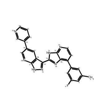 Cc1cc(F)cc(-c2ccnc3[nH]c(-c4n[nH]c5ncc(-c6cccnc6)cc45)nc23)c1